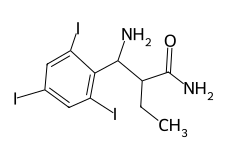 CCC(C(N)=O)C(N)c1c(I)cc(I)cc1I